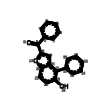 O=C(c1ccccc1)c1cc2c(-c3ccccc3)c(O)ccc2o1